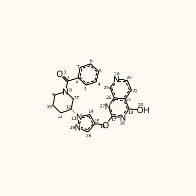 O=C(c1ccccc1)N1CCC[C@@H](n2cc(Oc3nc(O)c4ccncc4n3)cn2)C1